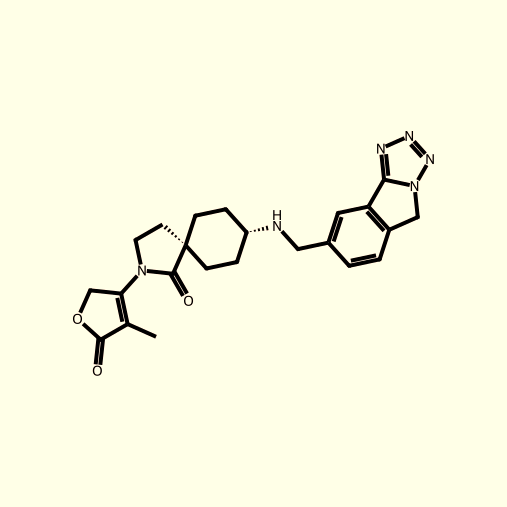 CC1=C(N2CC[C@]3(CC[C@@H](NCc4ccc5c(c4)-c4nnnn4C5)CC3)C2=O)COC1=O